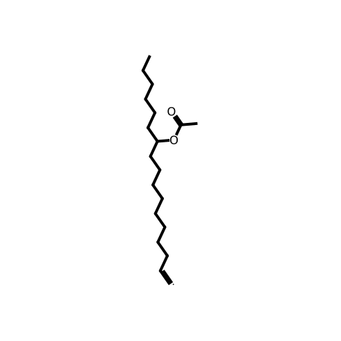 [CH]=CCCCCCCCCC(CCCCCC)OC(C)=O